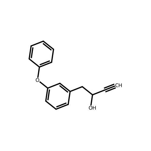 C#CC(O)Cc1cccc(Oc2ccccc2)c1